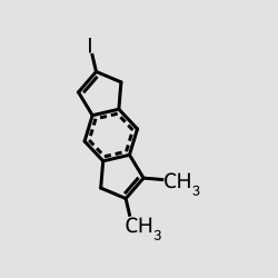 CC1=C(C)c2cc3c(cc2C1)C=C(I)C3